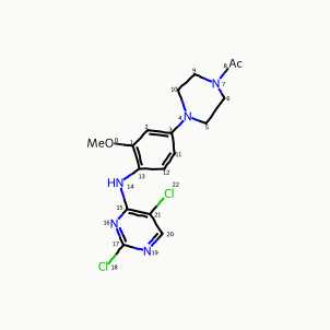 COc1cc(N2CCN(C(C)=O)CC2)ccc1Nc1nc(Cl)ncc1Cl